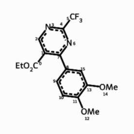 CCOC(=O)c1cnc(C(F)(F)F)nc1-c1ccc(OC)c(OC)c1